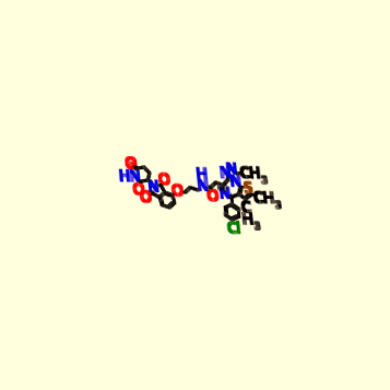 Cc1sc2c(c1C)C(c1ccc(Cl)cc1)=N[C@@H](CC(=O)NCCCOc1cccc3c1C(=O)N(C1CCC(=O)NC1=O)C3=O)c1nnc(C)n1-2